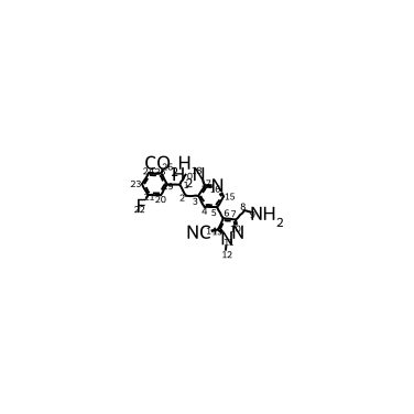 CC(Cc1cc(-c2c(CN)nn(C)c2C#N)cnc1N)c1cc(F)ccc1C(=O)O